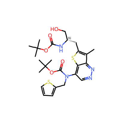 Cc1c(C[C@@H](CO)NC(=O)OC(C)(C)C)sc2c(N(Cc3cccs3)C(=O)OC(C)(C)C)cnnc12